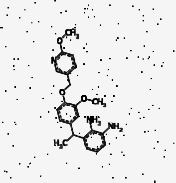 COc1ccc(COc2ccc(C(C)c3cccc(N)c3N)cc2OC)cn1